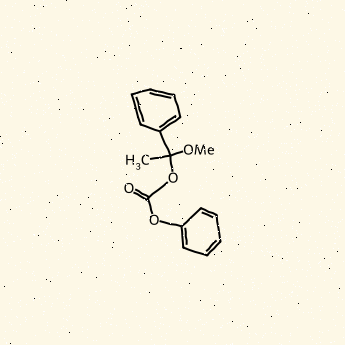 COC(C)(OC(=O)Oc1ccccc1)c1ccccc1